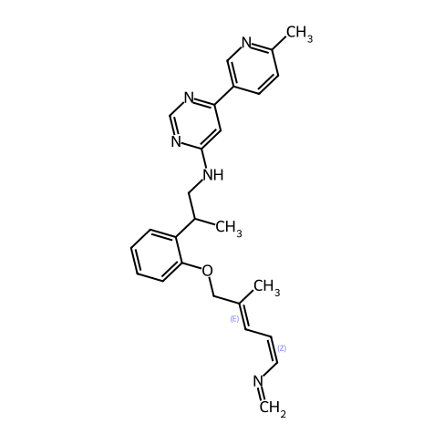 C=N/C=C\C=C(/C)COc1ccccc1C(C)CNc1cc(-c2ccc(C)nc2)ncn1